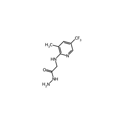 Cc1cc(C(F)(F)F)cnc1NCC(=O)NN